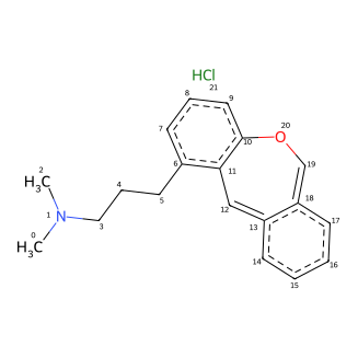 CN(C)CCCc1cccc2c1C=c1ccccc1=CO2.Cl